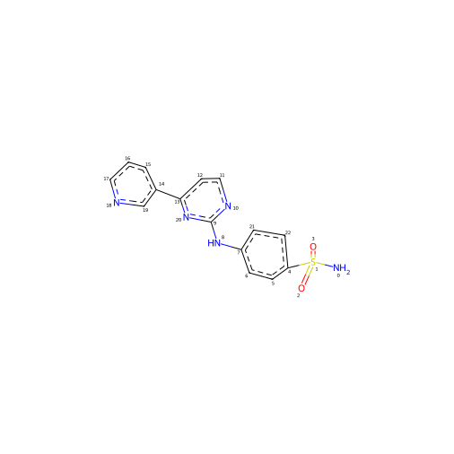 NS(=O)(=O)c1ccc(Nc2nccc(-c3cccnc3)n2)cc1